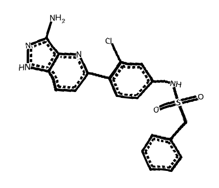 Nc1n[nH]c2ccc(-c3ccc(NS(=O)(=O)Cc4ccccc4)cc3Cl)nc12